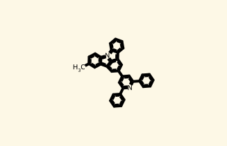 Cc1ccc2c(c1)c1cc(-c3cc(-c4ccccc4)nc(-c4ccccc4)c3)cc3c4ccccc4n2c31